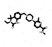 CCN1C(=O)Nc2cc(CN3CCN(c4ccc(C(=O)NC)nc4C)CC3)ccc2C1(C)C